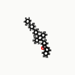 c1ccc(-c2ccc(-c3ccc(-c4c5ccccc5c(-c5ccc6c(c5)oc5c7ccccc7ccc65)c5ccccc45)cc3)cc2)cc1